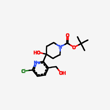 CC(C)(C)OC(=O)N1CCC(O)(c2nc(Cl)ccc2CO)CC1